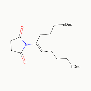 CCCCCCCCCCCCC/C=C(\CCCCCCCCCCCCC)N1C(=O)CCC1=O